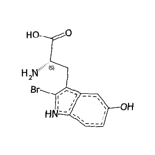 N[C@@H](Cc1c(Br)[nH]c2ccc(O)cc12)C(=O)O